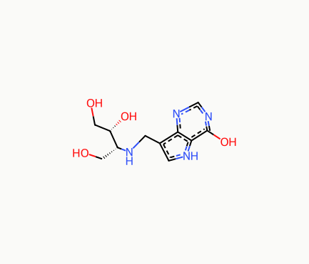 OC[C@H](O)[C@@H](CO)NCc1c[nH]c2c(O)ncnc12